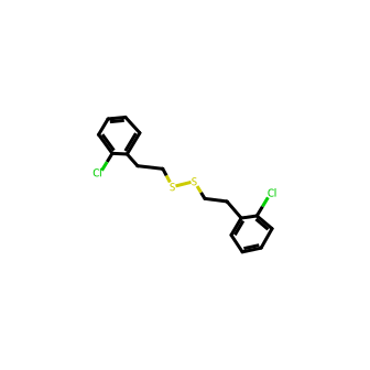 Clc1ccccc1CCSSCCc1ccccc1Cl